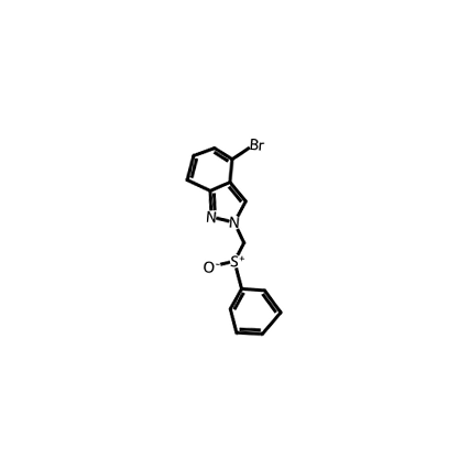 [O-][S+](Cn1cc2c(Br)cccc2n1)c1ccccc1